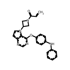 C=CC(=O)N1CC(n2ccc3ncnc(Oc4ccc(Nc5ccccc5)cc4)c32)C1